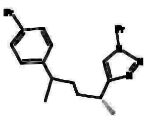 CC(C)c1ccc(C(C)CC[C@@H](C)c2cn(C(C)C)nn2)cc1